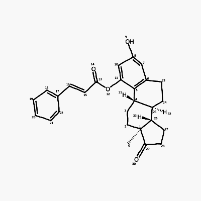 C[C@]12CC[C@@H]3c4c(cc(O)cc4OC(=O)C=Cc4ccccc4)CC[C@H]3[C@@H]1CCC2=O